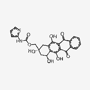 O=C(Nc1cccs1)OC[C@@]1(O)Cc2c(O)c3c(c(O)c2[C@@H](O)C1)C(=O)c1ccccc1C3=O